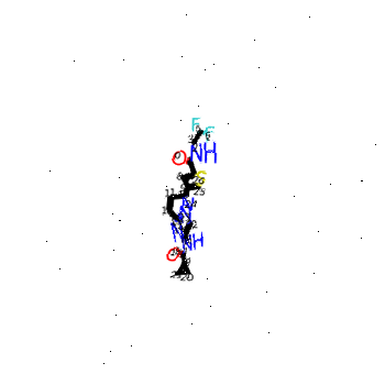 O=C(NCC(F)F)c1cc(-c2ccc3nc(NC(=O)C4CC4)cn3n2)cs1